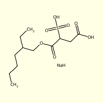 CCCCC(CC)COC(=O)C(CC(=O)O)S(=O)(=O)O.[NaH]